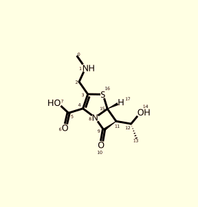 CNCC1=C(C(=O)O)N2C(=O)[C@H]([C@@H](C)O)[C@H]2S1